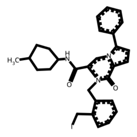 CC1CCC(NC(=O)c2cn3c(-c4ccccc4)ccc3c(=O)n2Cc2ccccc2CI)CC1